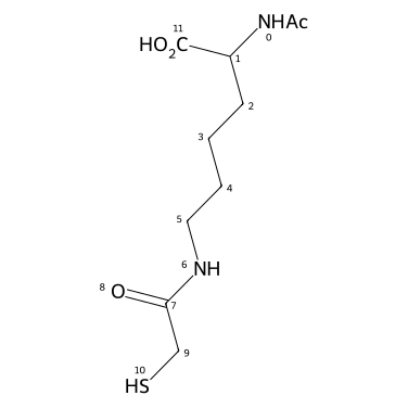 CC(=O)NC(CCCCNC(=O)CS)C(=O)O